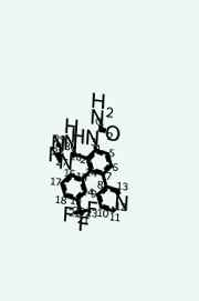 NC(=O)Nc1ccc(-c2cccnc2)c(-c2cccc(C(F)(F)F)c2)c1-c1nnn[nH]1